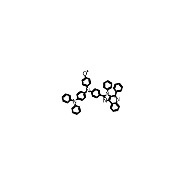 COc1ccc(N(c2ccc(-c3nc4c5ccccc5nc(-c5ccccc5)c4n3-c3ccccc3)cc2)c2ccc(N(c3ccccc3)c3ccccc3)cc2)cc1